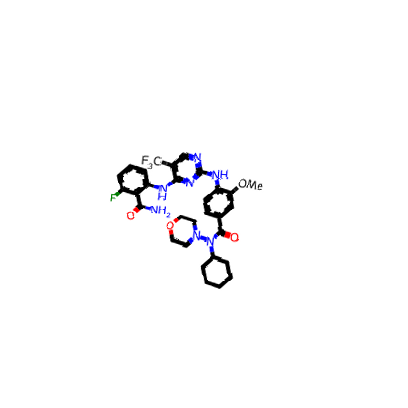 COc1cc(C(=O)N(C2CCCCC2)N2CCOCC2)ccc1Nc1ncc(C(F)(F)F)c(Nc2cccc(F)c2C(N)=O)n1